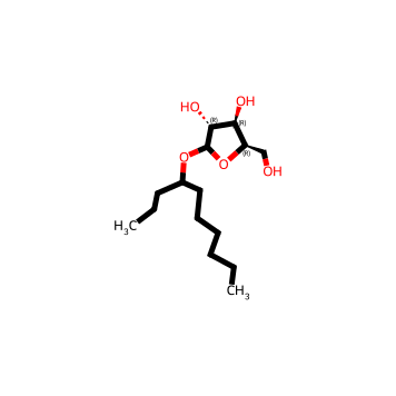 CCCCCCC(CCC)OC1O[C@H](CO)[C@H](O)[C@H]1O